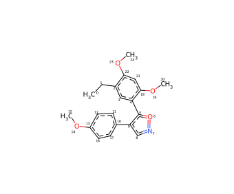 CCc1cc(-c2oncc2-c2ccc(OC)cc2)c(OC)cc1OC